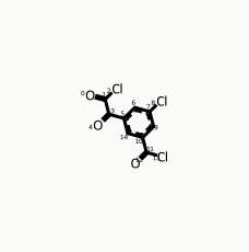 O=C(Cl)C(=O)c1cc(Cl)cc(C(=O)Cl)c1